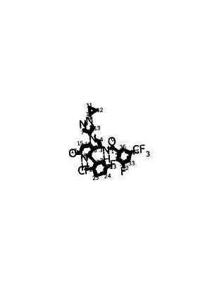 O=C(Nc1cn(-c2cnn(C3CC3)c2)c2cc(=O)[nH]c(-c3cc(F)ccc3Cl)c12)c1cc(F)cc(C(F)(F)F)c1